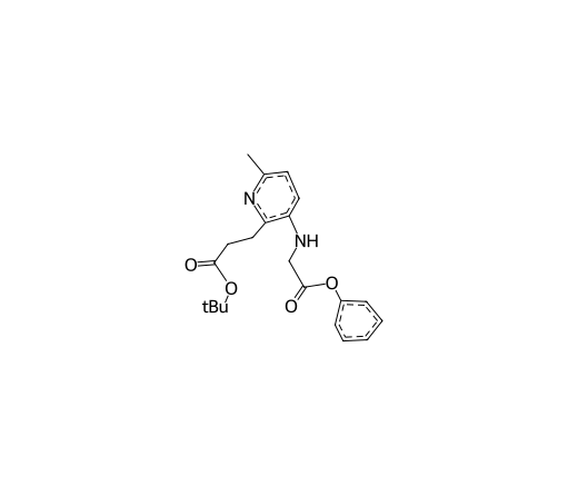 Cc1ccc(NCC(=O)Oc2ccccc2)c(CCC(=O)OC(C)(C)C)n1